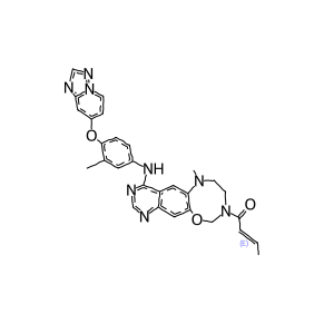 C/C=C/C(=O)N1CCN(C)c2cc3c(Nc4ccc(Oc5ccn6ncnc6c5)c(C)c4)ncnc3cc2OC1